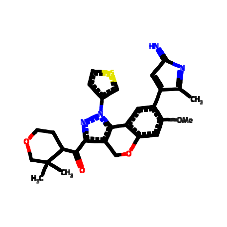 COc1cc2c(cc1C1=CC(=N)N=C1C)-c1c(c(C(=O)C3CCOCC3(C)C)nn1-c1ccsc1)CO2